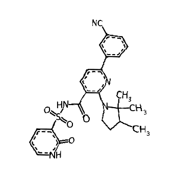 CC1CCN(c2nc(-c3cccc(C#N)c3)ccc2C(=O)NS(=O)(=O)c2ccc[nH]c2=O)C1(C)C